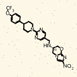 O=[N+]([O-])c1cn2c(n1)OC[C@@H](NCc1cnc(N3CCC(c4ccc(OC(F)(F)F)cc4)CC3)nc1)C2